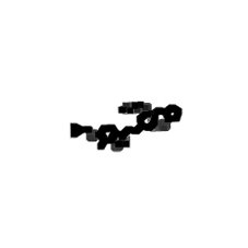 CNC.Cc1c(OCC2CC2)ccc2c(CCC3CCN(CC4CCCC4O)CC3)noc12